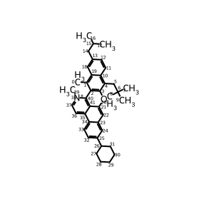 Cc1c2c(c(CC(C)(C)C)c3ccc(CC(C)C)cc13)Oc1cc3cc(C4CCCCC4)ccc3c3cc[n+](C)c-2c13